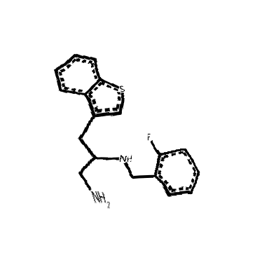 NCC(Cc1csc2ccccc12)NCc1ccccc1F